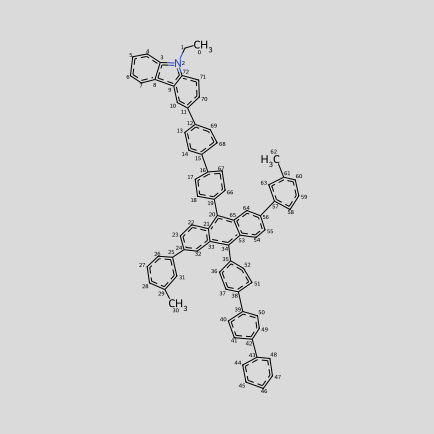 CCn1c2ccccc2c2cc(-c3ccc(-c4ccc(-c5c6ccc(-c7cccc(C)c7)cc6c(-c6ccc(-c7ccc(-c8ccccc8)cc7)cc6)c6ccc(-c7cccc(C)c7)cc56)cc4)cc3)ccc21